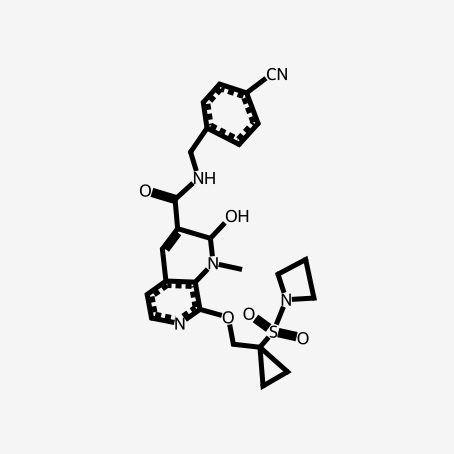 CN1c2c(ccnc2OCC2(S(=O)(=O)N3CCC3)CC2)C=C(C(=O)NCc2ccc(C#N)cc2)C1O